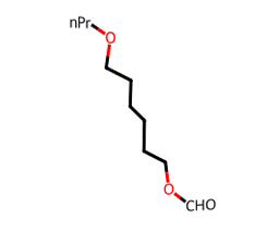 CCCOCCCCCCOC=O